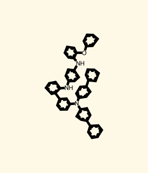 c1ccc(Oc2ccccc2Nc2ccc(Nc3ccccc3-c3cccc(N(c4ccc(-c5ccccc5)cc4)c4ccc(-c5ccccc5)cc4)c3)cc2)cc1